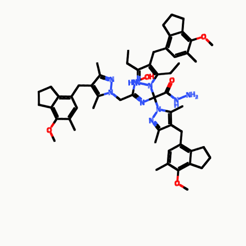 CCc1nn(C(N=C(Cn2nc(C)c(Cc3cc(C)c(OC)c4c3CCC4)c2C)NO)(C(=O)NN)n2nc(C)c(Cc3cc(C)c(OC)c4c3CCC4)c2C)c(CC)c1Cc1cc(C)c(OC)c2c1CCC2